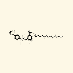 CCCCCCCCCCCCCCOc1ccc(CC(=O)Nc2ccc(-c3scc[n+]3C)cc2)cc1C(C)=O.[Cl-]